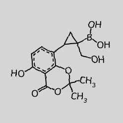 CC1(C)OC(=O)c2c(O)ccc(C3CC3(CO)B(O)O)c2O1